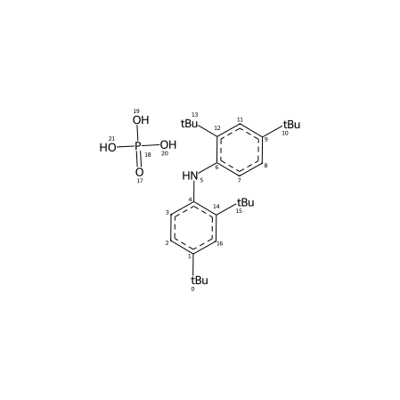 CC(C)(C)c1ccc(Nc2ccc(C(C)(C)C)cc2C(C)(C)C)c(C(C)(C)C)c1.O=P(O)(O)O